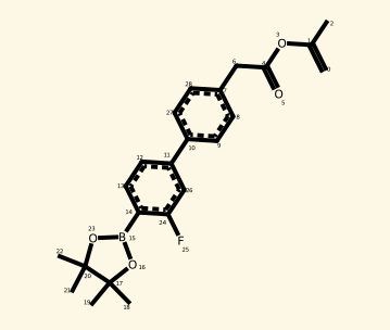 C=C(C)OC(=O)Cc1ccc(-c2ccc(B3OC(C)(C)C(C)(C)O3)c(F)c2)cc1